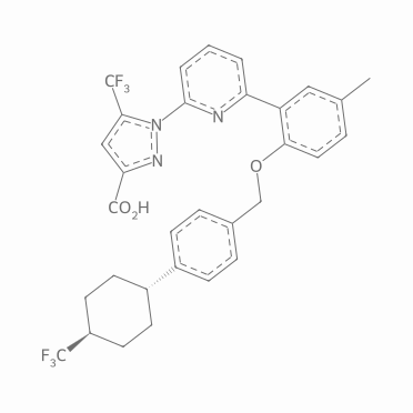 Cc1ccc(OCc2ccc([C@H]3CC[C@H](C(F)(F)F)CC3)cc2)c(-c2cccc(-n3nc(C(=O)O)cc3C(F)(F)F)n2)c1